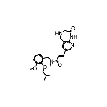 COc1cccc(CN(C)C(=O)C=Cc2cnc3c(c2)CNCC(=O)N3)c1OCC(C)C